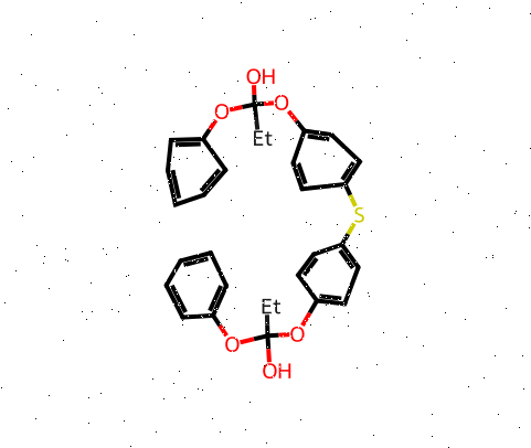 CCC(O)(Oc1ccccc1)Oc1ccc(Sc2ccc(OC(O)(CC)Oc3ccccc3)cc2)cc1